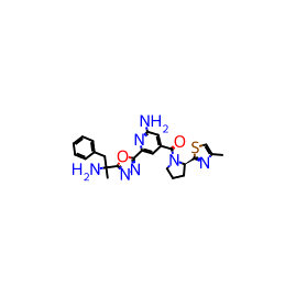 Cc1csc([C@H]2CCCN2C(=O)c2cc(N)nc(-c3nnc(C(C)(N)Cc4ccccc4)o3)c2)n1